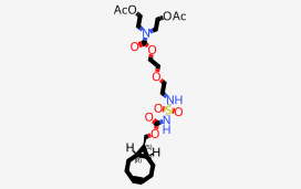 CC(=O)OCCN(CCOC(C)=O)C(=O)OCCOCCNS(=O)(=O)NC(=O)OC[C@@H]1[C@@H]2CCC#CCC[C@@H]21